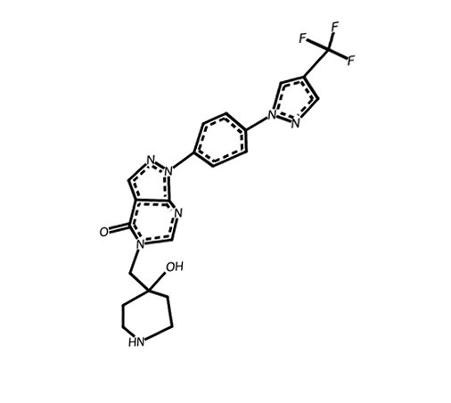 O=c1c2cnn(-c3ccc(-n4cc(C(F)(F)F)cn4)cc3)c2ncn1CC1(O)CCNCC1